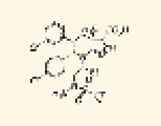 CCC(CN(C)S(=O)(=O)C1CC1)N1C(=O)[C@@](C)(C(C)C(=O)O)C[C@H](c2cccc(Cl)c2)[C@H]1c1ccc(Cl)cc1